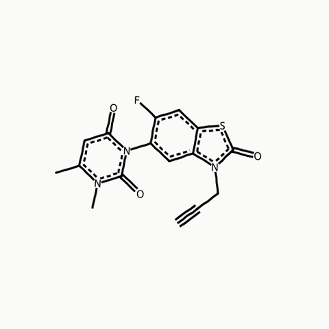 C#CCn1c(=O)sc2cc(F)c(-n3c(=O)cc(C)n(C)c3=O)cc21